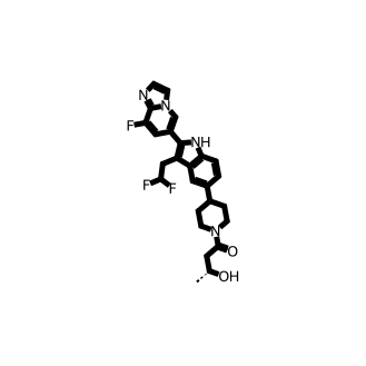 C[C@@H](O)CC(=O)N1CCC(c2ccc3[nH]c(-c4cc(F)c5nccn5c4)c(CC(F)F)c3c2)CC1